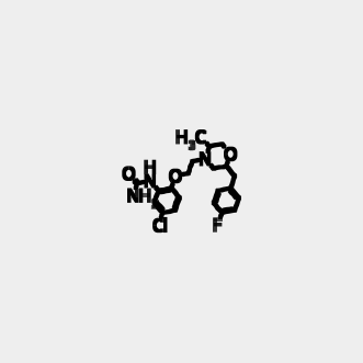 CC1COC(Cc2ccc(F)cc2)CN1CCOc1ccc(Cl)cc1NC(N)=O